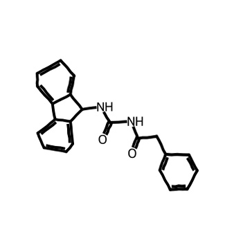 O=C(Cc1ccccc1)NC(=O)NC1c2ccccc2-c2ccccc21